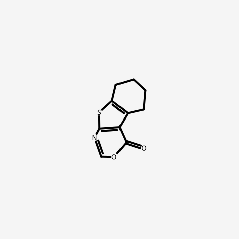 O=c1ocnc2sc3c(c12)CCCC3